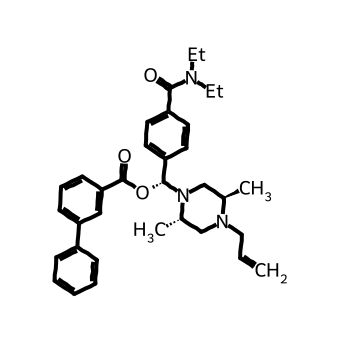 C=CCN1C[C@H](C)N([C@H](OC(=O)c2cccc(-c3ccccc3)c2)c2ccc(C(=O)N(CC)CC)cc2)C[C@H]1C